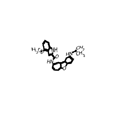 COc1cccc2[nH]c(C(=O)NC3=Cc4c5c(oc4=CC=C3)=CC=C(NC(C)C)C5)cc12